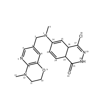 CN(Cc1cnc2c(c1)OCCN2C)C1=CC2C(Cl)=NNC(=O)C2C=C1